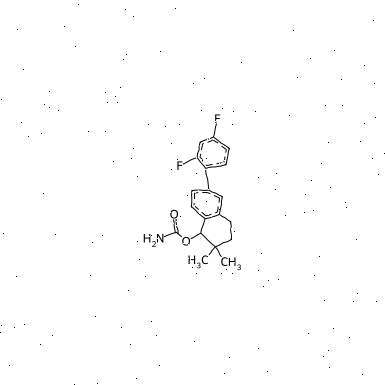 CC1(C)CCc2cc(-c3ccc(F)cc3F)ccc2C1OC(N)=O